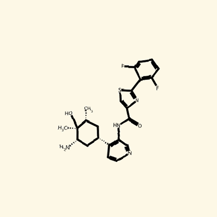 C[C@@H]1C[C@H](c2ccncc2NC(=O)c2csc(-c3c(F)cccc3F)n2)C[C@H](N)[C@@]1(C)O